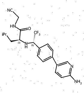 CC(C)C[C@H](N[C@@H](c1ccc(-c2ccc(N)nc2)cc1)C(F)(F)F)C(=O)NCC#N